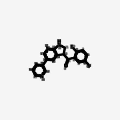 O=C(c1cc(F)ccc1F)C1CNc2ncc(-c3cccnc3)cc21